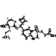 CCCc1c(O)cccc1OC(C1=CC=N1)c1ccc2ncc(CCC(=O)O)c(=O)n2c1